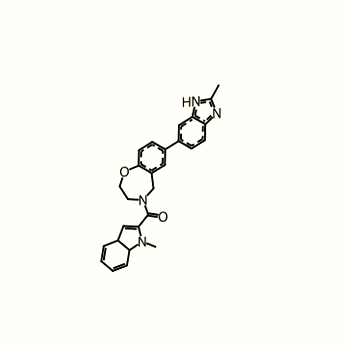 Cc1nc2ccc(-c3ccc4c(c3)CN(C(=O)C3=CC5C=CC=CC5N3C)CCO4)cc2[nH]1